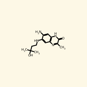 Cc1nc2cc(NCCC(C)(C)O)c(N)cc2[nH]c1=O